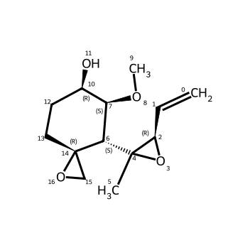 C=C[C@H]1OC1(C)[C@H]1[C@H](OC)[C@H](O)CC[C@]12CO2